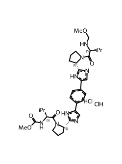 COCN[C@H](C(=O)N1CCC[C@H]1c1ncc(-c2ccc(-c3cnc([C@@H]4CCCN4C(=O)[C@@H](NC(=O)OC)C(C)C)[nH]3)cc2)[nH]1)C(C)C.Cl.Cl